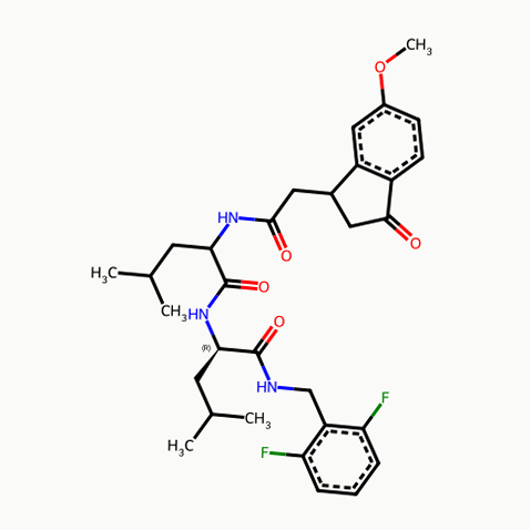 COc1ccc2c(c1)C(CC(=O)NC(CC(C)C)C(=O)N[C@H](CC(C)C)C(=O)NCc1c(F)cccc1F)CC2=O